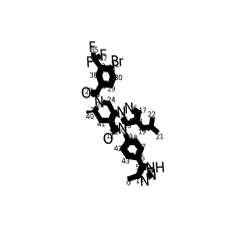 Cc1nn[nH]c1-c1ccc(-n2c(=O)c3c(n4ncc(CC(C)C)c24)CN(C(=O)c2ccc(Br)c(C(F)(F)F)c2)[C@H](C)C3)cc1